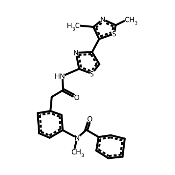 Cc1nc(C)c(-c2csc(NC(=O)Cc3cccc(N(C)C(=O)c4ccccc4)c3)n2)s1